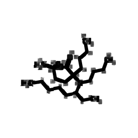 CCCCCC(CC)N(CCCC)C(CCCC)(CCC(N)=O)C(=O)O